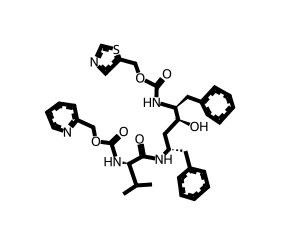 CC(C)[C@H](NC(=O)OCc1ccccn1)C(=O)N[C@@H](Cc1ccccc1)C[C@H](O)[C@H](Cc1ccccc1)NC(=O)OCc1cncs1